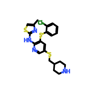 Cc1csc(Nc2ncc(SCC3CCNCC3)cc2Sc2ccccc2Cl)n1